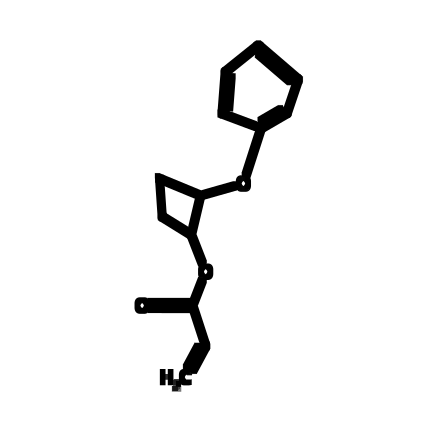 C=CC(=O)OC1CCC1Oc1ccccc1